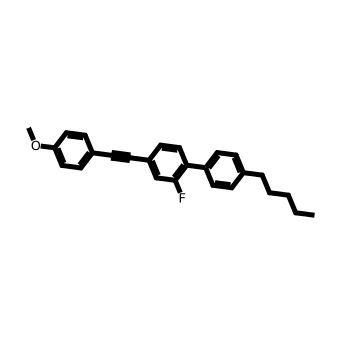 CCCCCc1ccc(-c2ccc(C#Cc3ccc(OC)cc3)cc2F)cc1